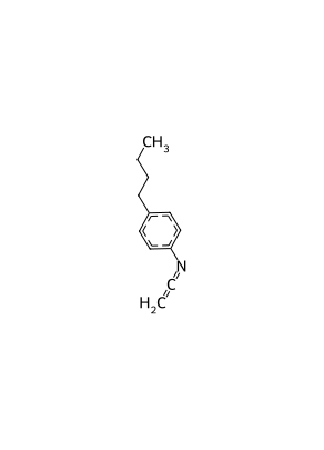 C=C=Nc1ccc(CCCC)cc1